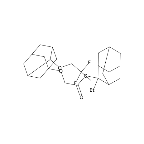 CCC1(OC(=O)COC23CC4CC(C2)C(OCC(C)(F)F)C(C4)C3)C2CC3CC(C2)CC1C3